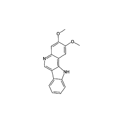 COc1cc2ncc3c4ccccc4[nH]c3c2cc1OC